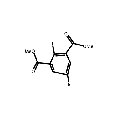 COC(=O)c1cc(Br)cc(C(=O)OC)c1I